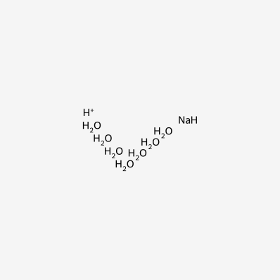 O.O.O.O.O.O.O.[H+].[NaH]